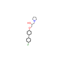 OC(COc1ccc(-c2ccc(F)cc2)cc1)CN1CCCC1